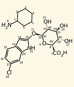 NC1CCCCC1.O=C(O)[C@H]1O[C@@H](Oc2cc3ccc(Cl)cc3[nH]2)[C@H](O)[C@@H](O)[C@@H]1O